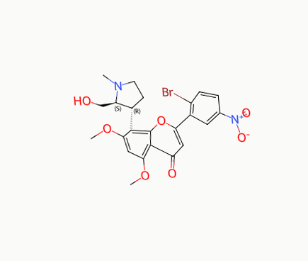 COc1cc(OC)c2c(=O)cc(-c3cc([N+](=O)[O-])ccc3Br)oc2c1[C@H]1CCN(C)[C@@H]1CO